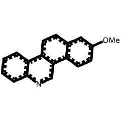 COc1ccc2c(ccc3c4ccccc4ncc23)c1